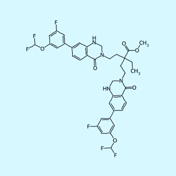 CCC(CCN1CNc2cc(-c3cc(F)cc(OC(F)F)c3)ccc2C1=O)(CCN1CNc2cc(-c3cc(F)cc(OC(F)F)c3)ccc2C1=O)C(=O)OC